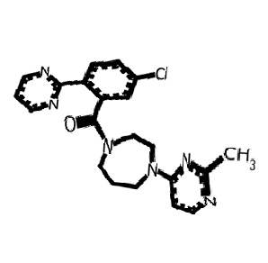 Cc1nccc(N2CCCN(C(=O)c3cc(Cl)ccc3-c3ncccn3)CC2)n1